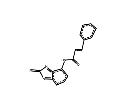 O=C1N=c2cccc(NC(=O)C=Cc3ccccc3)c2=N1